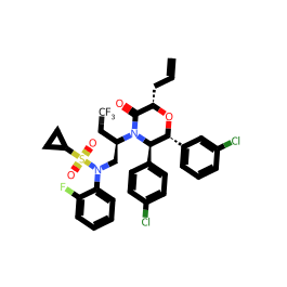 C=CC[C@@H]1O[C@H](c2cccc(Cl)c2)[C@@H](c2ccc(Cl)cc2)N([C@@H](CN(c2ccccc2F)S(=O)(=O)C2CC2)CC(F)(F)F)C1=O